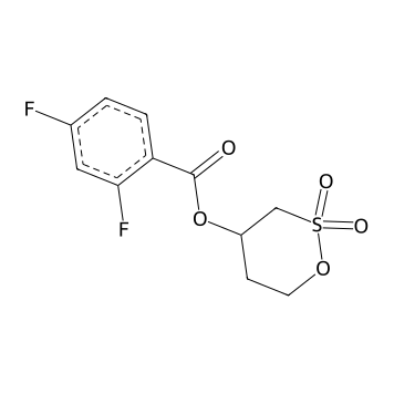 O=C(OC1CCOS(=O)(=O)C1)c1ccc(F)cc1F